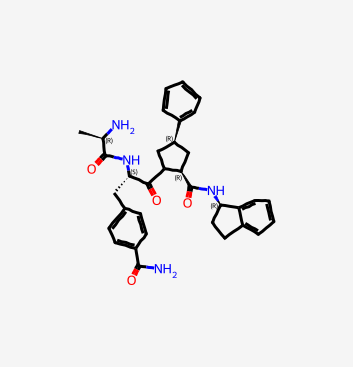 C[C@@H](N)C(=O)N[C@@H](Cc1ccc(C(N)=O)cc1)C(=O)C1C[C@@H](c2ccccc2)C[C@H]1C(=O)N[C@@H]1CCc2ccccc21